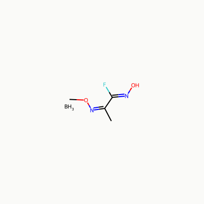 B.CON=C(C)C(F)=NO